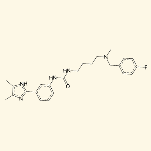 Cc1nc(-c2cccc(NC(=O)NCCCCN(C)Cc3ccc(F)cc3)c2)[nH]c1C